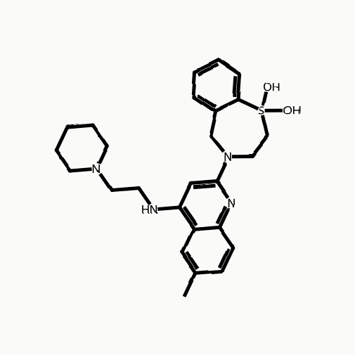 Cc1ccc2nc(N3CCS(O)(O)c4ccccc4C3)cc(NCCN3CCCCC3)c2c1